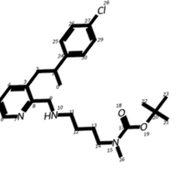 CC(Cc1cccnc1CNCCCCN(C)C(=O)OC(C)(C)C)c1ccc(Cl)cc1